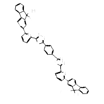 CC1(C)c2ccccc2-c2ccc(-c3cccc(-c4nnc(-c5ccc(-c6nnc(-c7cccc(-c8ccc9c(c8)C(C)(C)c8ccccc8-9)n7)s6)cc5)s4)n3)cc21